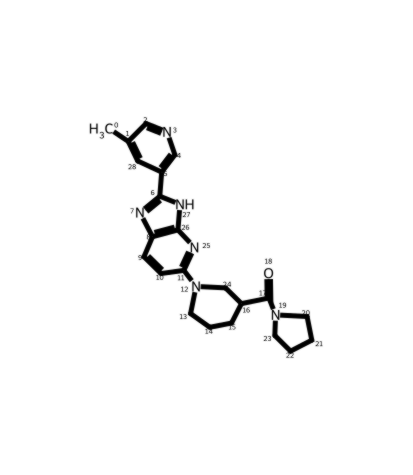 Cc1cncc(-c2nc3ccc(N4CCCC(C(=O)N5CCCC5)C4)nc3[nH]2)c1